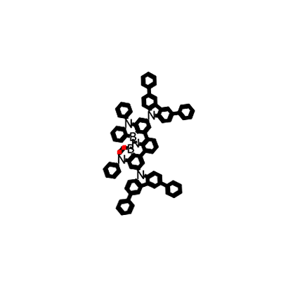 c1ccc(-c2ccc3c(c2)c2cc(-c4ccccc4)ccc2n3-c2cc3c4c(c2)N(c2ccccc2)c2ccccc2B4N2B4c5ccccc5N(c5ccccc5)c5cc(-n6c7ccc(-c8ccccc8)cc7c7cc(-c8ccccc8)ccc76)cc(c54)-c4cccc-3c42)cc1